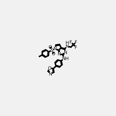 Cc1ccc(S(=O)(=O)n2ccc3c(NCC(F)(F)F)nc(Nc4ccc(-c5cnco5)cc4)nc32)cc1